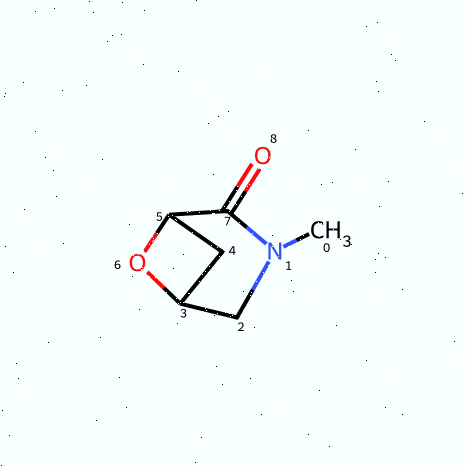 CN1CC2CC(O2)C1=O